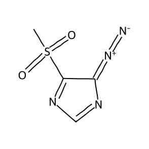 CS(=O)(=O)C1=NC=NC1=[N+]=[N-]